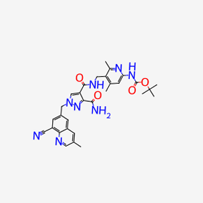 Cc1cnc2c(C#N)cc(Cn3cc(C(=O)NCc4c(C)cc(NC(=O)OC(C)(C)C)nc4C)c(C(N)=O)n3)cc2c1